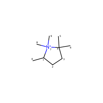 CC1CCC(C)(C)[N+]1(C)C